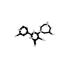 O=c1[nH]c(-c2ccnc(F)c2)nc(N2CCNCC(F)C2)c1Cl